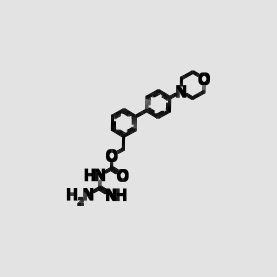 N=C(N)NC(=O)OCc1cccc(-c2ccc(N3CCOCC3)cc2)c1